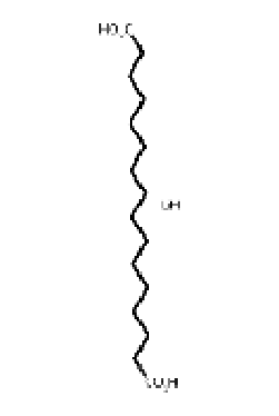 O=C(O)CCCCCCCCCCCCCCC(=O)O.[LiH]